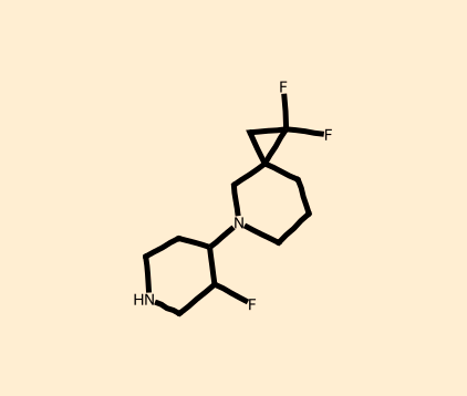 FC1CNCCC1N1CCCC2(C1)CC2(F)F